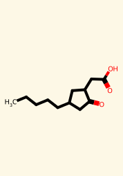 CCCCCC1CC(=O)C(CC(=O)O)C1